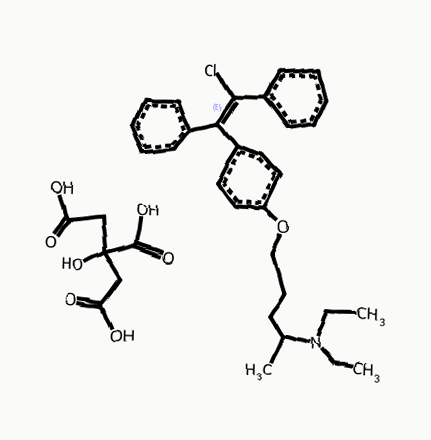 CCN(CC)C(C)CCCOc1ccc(/C(=C(/Cl)c2ccccc2)c2ccccc2)cc1.O=C(O)CC(O)(CC(=O)O)C(=O)O